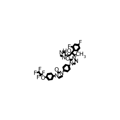 C[C@@H](n1ncn(-c2ccc(-n3ccn(-c4ccc(OC(F)(F)C(F)F)cc4)c3=O)cc2)c1=O)[C@](O)(Cn1cncn1)c1ccc(F)cc1F